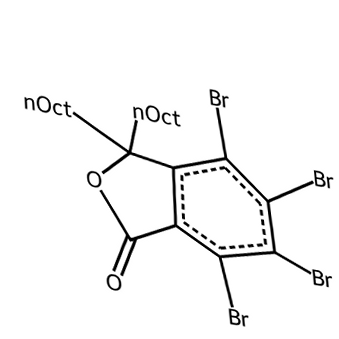 CCCCCCCCC1(CCCCCCCC)OC(=O)c2c(Br)c(Br)c(Br)c(Br)c21